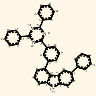 c1ccc(-c2ccc3[nH]c4cccc(-c5cccc(-c6nc(-c7ccccc7)nc(-c7ccccc7)n6)c5)c4c3c2)cc1